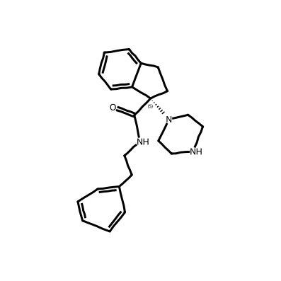 O=C(NCCc1ccccc1)[C@]1(N2CCNCC2)CCc2ccccc21